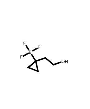 OCCC1([B-](F)(F)F)CC1